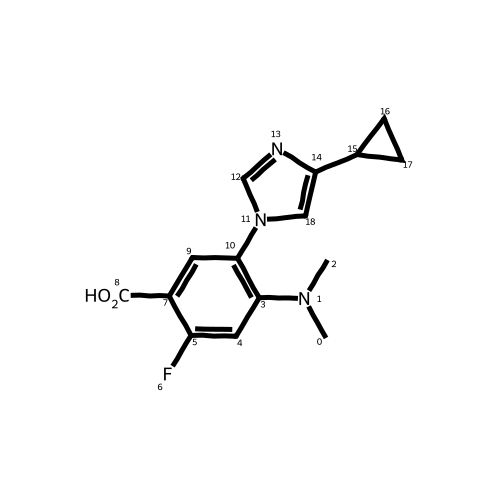 CN(C)c1cc(F)c(C(=O)O)cc1-n1cnc(C2CC2)c1